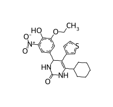 CCOc1cc(C2NC(=O)NC(C3CCCCC3)=C2c2ccsc2)cc([N+](=O)[O-])c1O